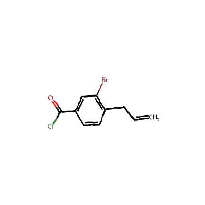 C=CCc1ccc(C(=O)Cl)cc1Br